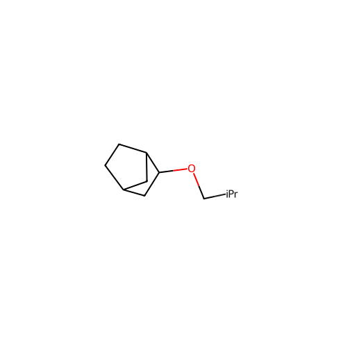 CC(C)COC1CC2CCC1C2